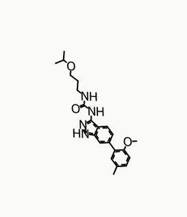 COc1ccc(C)cc1-c1ccc2c(NC(=O)NCCCOC(C)C)n[nH]c2c1